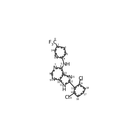 FC(F)(F)c1ccc(Nc2ncnc3[nH]c(-c4c(Cl)cccc4Cl)nc23)nc1